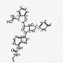 CCNC(=O)Nc1ncnc2c1ncn2C1OC(COc2ccccc2CC(=O)O)C2O[C@H](c3ccc(F)cc3)OC21